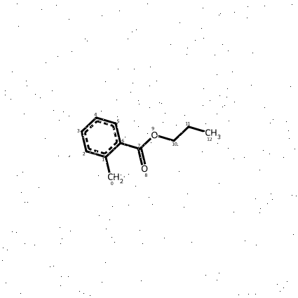 [CH2]c1ccccc1C(=O)OCCC